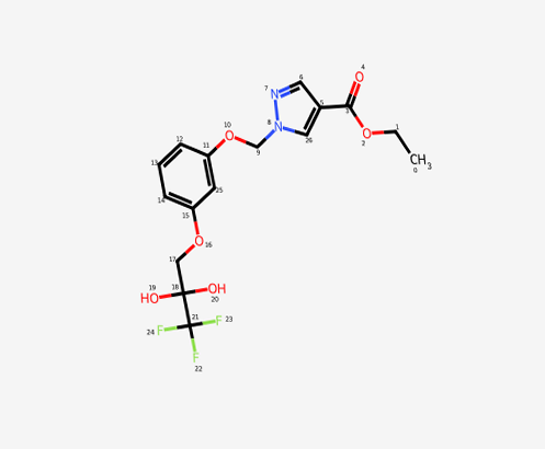 CCOC(=O)c1cnn(COc2cccc(OCC(O)(O)C(F)(F)F)c2)c1